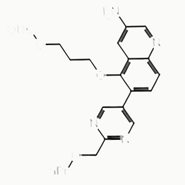 CCCOCc1ncc(-c2ccc3ncc(N)cc3c2OCCCOC=O)cn1